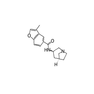 Cc1coc2ccc(C(=O)N[C@@H]3C[C@@H]4CCN(C4)C3)cc12